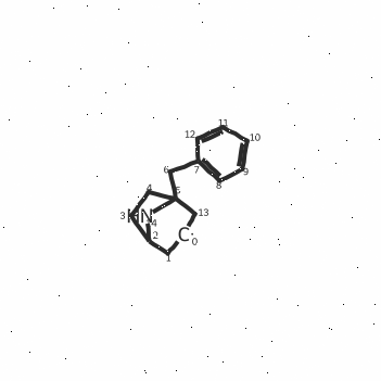 [CH]1CC2CCC(Cc3ccccc3)(C1)N2